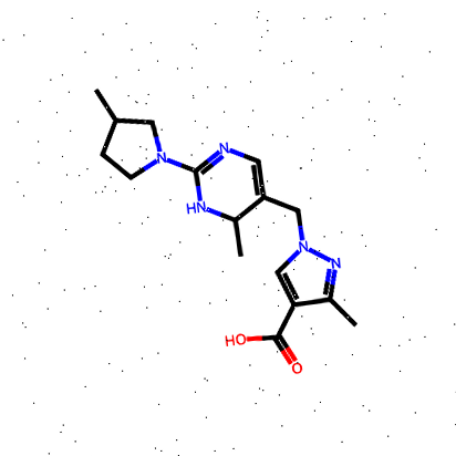 Cc1nn(CC2=CN=C(N3CCC(C)C3)NC2C)cc1C(=O)O